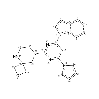 c1ccc2c(c1)ccn2-c1nc(N2CCNC3(COC3)C2)nc(-n2cccn2)n1